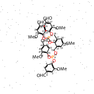 COc1cc(C=O)ccc1OP(OCc1cc(SC)cc(C)c1OP(Oc1ccc(C=O)cc1OC)Oc1ccc(C=O)cc1OC)Oc1ccc(C=O)cc1OC